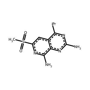 CC(C)c1nc(N)nc2c(N)nc(S(C)(=O)=O)cc12